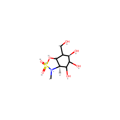 CN1[C@@H]2C(O)C(O)[C@H](O)C(CO)C2OS1(=O)=O